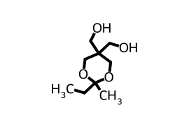 CCC1(C)OCC(CO)(CO)CO1